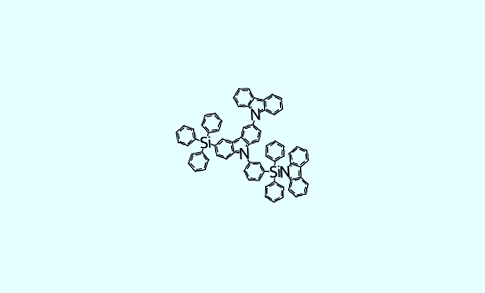 c1ccc([Si](c2ccccc2)(c2ccccc2)c2ccc3c(c2)c2cc(-n4c5ccccc5c5ccccc54)ccc2n3-c2cccc([Si](c3ccccc3)(c3ccccc3)n3c4ccccc4c4ccccc43)c2)cc1